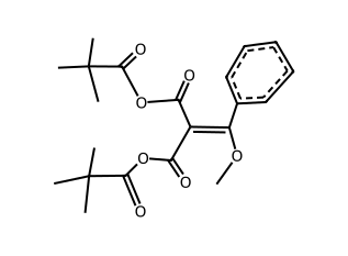 COC(=C(C(=O)OC(=O)C(C)(C)C)C(=O)OC(=O)C(C)(C)C)c1ccccc1